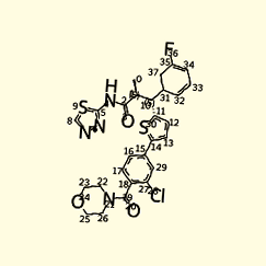 C[C@H](C(=O)Nc1nncs1)[C@@H](c1ccc(-c2ccc(C(=O)N3CCOCC3)c(Cl)c2)s1)C1C=CC=C(F)C1